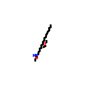 CCCCCCCCCCCCCCCCCCNOCC.CCOCC